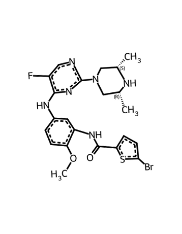 COc1ccc(Nc2nc(N3C[C@@H](C)N[C@@H](C)C3)ncc2F)cc1NC(=O)c1ccc(Br)s1